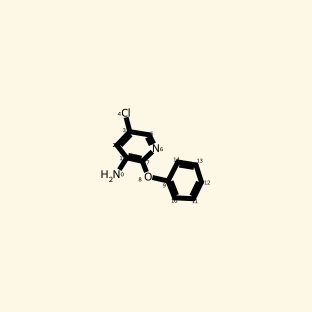 Nc1cc(Cl)cnc1Oc1ccccc1